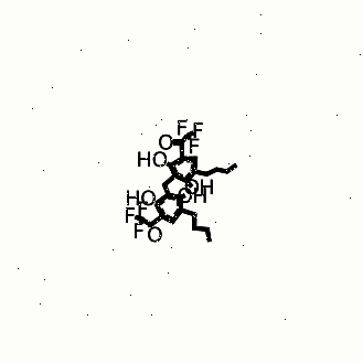 CCCCc1cc(C(=O)C(F)(F)F)c(O)c(Cc2c(O)c(CCCC)cc(C(=O)C(F)(F)F)c2O)c1O